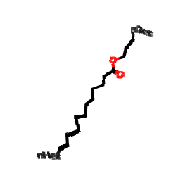 CCCCCC/C=C/CCCCCCCCCC(=O)OCCCCCCCCCCCCC